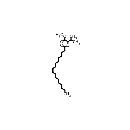 CCCCCCCC/C=C\CCCCCCCC(=O)OC(C(=O)OC)C(C)C